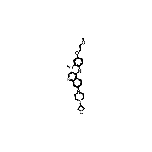 COCCOc1ccc(Nc2ccnc3cc(N4CCN(C5COC5)CC4)ccc23)c(OC)c1